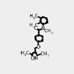 Cc1cccc(N(C)C(=O)c2ccc(OCc3c(C)noc3C)cc2)c1C